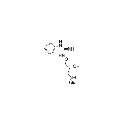 CC(C)(C)NCC(O)CONC(=N)Nc1ccccc1